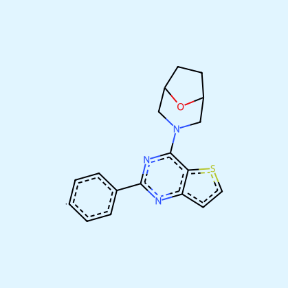 [c]1ccc(-c2nc(N3CC4CCC(C3)O4)c3sccc3n2)cc1